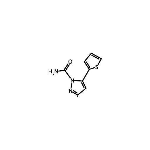 NC(=O)n1n[c]cc1-c1cccs1